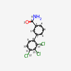 NC(=O)c1cccc(-c2ccc(Cl)c(Cl)c2Cl)c1